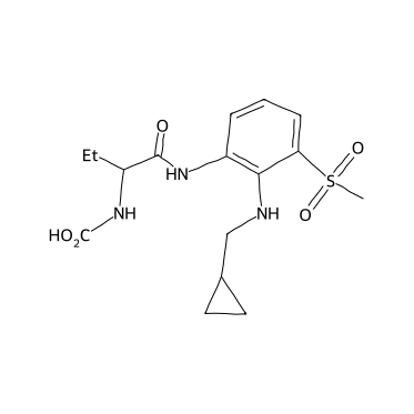 CCC(NC(=O)O)C(=O)Nc1cccc(S(C)(=O)=O)c1NCC1CC1